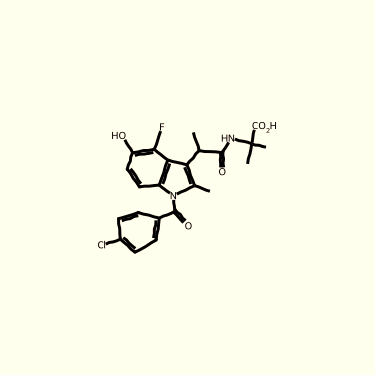 Cc1c(C(C)C(=O)NC(C)(C)C(=O)O)c2c(F)c(O)ccc2n1C(=O)c1ccc(Cl)cc1